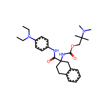 CCN(CC)c1ccc(NC(=O)C2(NC(=O)OCC(C)(C)N(C)C)CCc3ccccc3C2)cc1